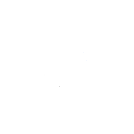 Cc1cc(CC2C(C(F)(F)F)=NNC2C=O)ccc1[N+](=O)[O-]